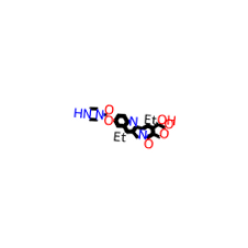 CCc1c2c(nc3ccc(OC(=O)N4CCNCC4)cc13)-c1cc3c(c(=O)n1C2)COC(=O)[C@]3(O)CC